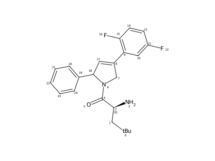 CC(C)(C)C[C@H](N)C(=O)N1CC(c2cc(F)ccc2F)=CC1c1ccccc1